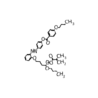 C=C(C)C(=O)OOC(CCCOc1ccccc1N=Nc1ccc(OC(=O)c2ccc(OCCCC)cc2)cc1)OCCCC